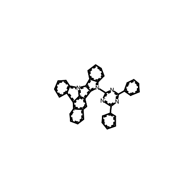 c1ccc(-c2nc(-c3ccccc3)nc(-n3c4ccccc4c4c3c3cc5ccccc5c5c6ccccc6n4c35)n2)cc1